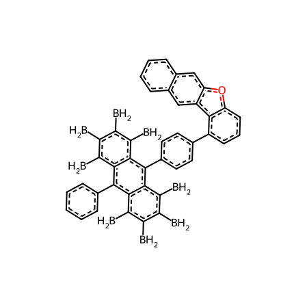 Bc1c(B)c(B)c2c(-c3ccc(-c4cccc5oc6cc7ccccc7cc6c45)cc3)c3c(B)c(B)c(B)c(B)c3c(-c3ccccc3)c2c1B